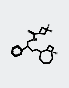 O=C(NCC(CCN1CCCC[C@@H]2CCC21)c1ccccc1)C1CC(F)(F)C1